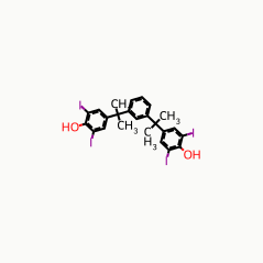 CC(C)(c1cccc(C(C)(C)c2cc(I)c(O)c(I)c2)c1)c1cc(I)c(O)c(I)c1